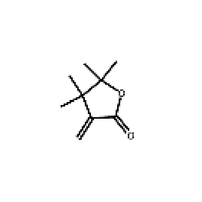 C=C1C(=O)OC(C)(C)C1(C)C